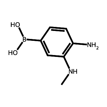 CNc1cc(B(O)O)ccc1N